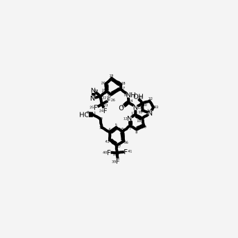 C#CCCc1cc(-c2ccc3c(n2)N(C(=O)Nc2cccc(C4(C(F)(F)F)N=N4)c2)C2(O)CCN3C2)cc(C(F)(F)F)c1